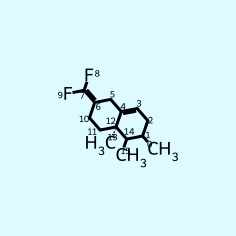 CC1CC=C2CC(=C(F)F)CC[C@]2(C)C1C